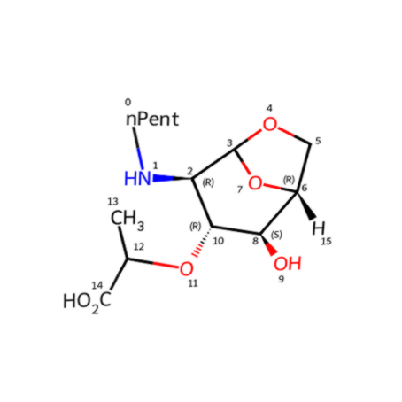 CCCCCN[C@H]1C2OC[C@@H](O2)[C@@H](O)[C@@H]1OC(C)C(=O)O